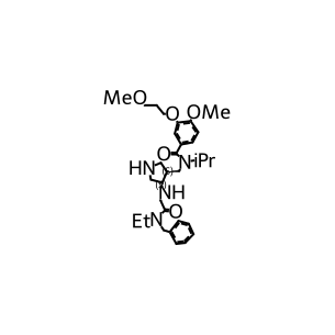 CCN(Cc1ccccc1)C(=O)CN[C@@H]1CNC[C@H]1CN(C(=O)c1ccc(OC)c(OCCCOC)c1)C(C)C